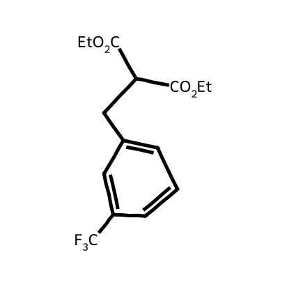 CCOC(=O)C(Cc1cccc(C(F)(F)F)c1)C(=O)OCC